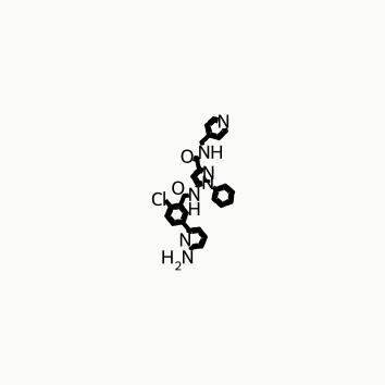 Nc1cccc(-c2ccc(Cl)c(C(=O)Nc3cc(C(=O)NCc4ccncc4)nn3-c3ccccc3)c2)n1